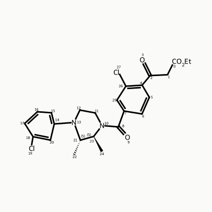 CCOC(=O)CC(=O)c1ccc(C(=O)N2CCN(c3cccc(Cl)c3)[C@@H](C)[C@@H]2C)cc1Cl